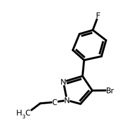 CCCn1cc(Br)c(-c2ccc(F)cc2)n1